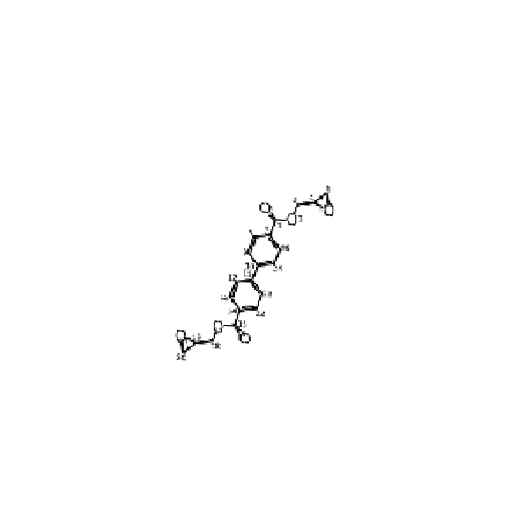 O=C(OCC1CO1)c1ccc(-c2ccc(C(=O)OCC3CO3)cc2)cc1